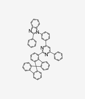 c1ccc(-c2cc(-c3cccc(-n4c(-c5ccccc5)nc5ccccc54)c3)nc(-c3cccc4c3-c3ccccc3C43c4ccccc4-c4ccccc43)n2)cc1